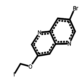 Brc1cnc2cc(OCI)cnc2c1